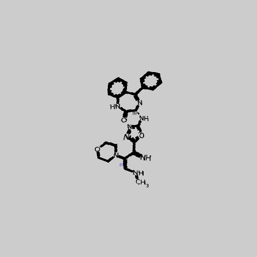 CN/C=C(\C(=N)c1nnc(N[C@H]2N=C(c3ccccc3)c3ccccc3NC2=O)o1)N1CCOCC1